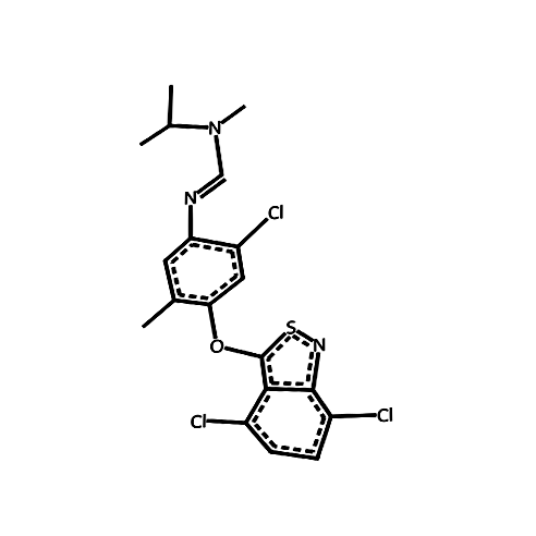 Cc1cc(N=CN(C)C(C)C)c(Cl)cc1Oc1snc2c(Cl)ccc(Cl)c12